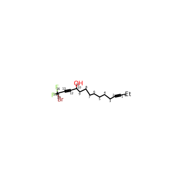 CCC#CCCCCCCCC(O)C#CC(F)(F)Br